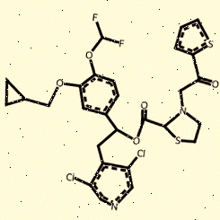 O=C(CN1CCSC1C(=O)OC(Cc1c(Cl)cncc1Cl)c1ccc(OC(F)F)c(OCC2CC2)c1)c1cccs1